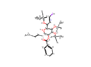 CC(=O)OCCC[C@@H]1O[C@@H](C(/C=C/I)O[Si](C)(C)C(C)(C)C)C(O[Si](C)(C)C(C)(C)C)C(O[Si](C)(C)C(C)(C)C)[C@H]1OC(=O)c1ccccc1